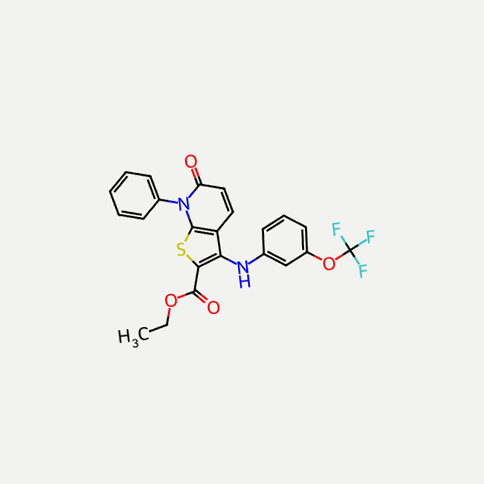 CCOC(=O)c1sc2c(ccc(=O)n2-c2ccccc2)c1Nc1cccc(OC(F)(F)F)c1